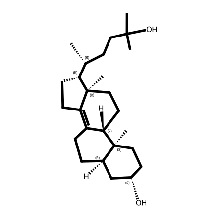 C[C@H](CCC(C)(C)O)[C@H]1CCC2=C3CC[C@@H]4C[C@@H](O)CC[C@]4(C)[C@H]3CC[C@@]21C